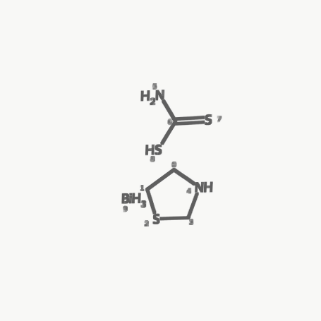 C1CSCN1.NC(=S)S.[BiH3]